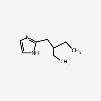 CCC(CC)Cc1ncc[nH]1